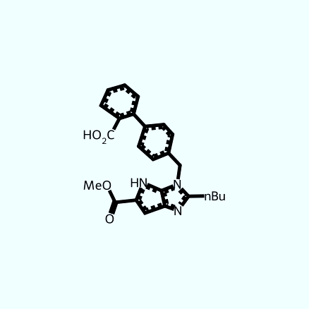 CCCCc1nc2cc(C(=O)OC)[nH]c2n1Cc1ccc(-c2ccccc2C(=O)O)cc1